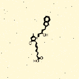 CC1=CC(=O)[C@H](CC=CCCCC(=O)O)[C@H]1C=CC(O)CCC1Cc2ccccc2C1